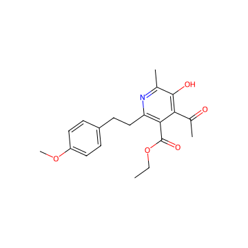 CCOC(=O)c1c(CCc2ccc(OC)cc2)nc(C)c(O)c1C(C)=O